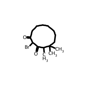 CC1C(=O)C(Br)C(=O)CCCCCCCC1(C)C